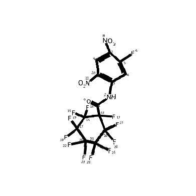 O=C(Nc1cc(F)c([N+](=O)[O-])cc1[N+](=O)[O-])C1(F)C(F)(F)C(F)(F)C(F)(F)C(F)(F)C1(F)F